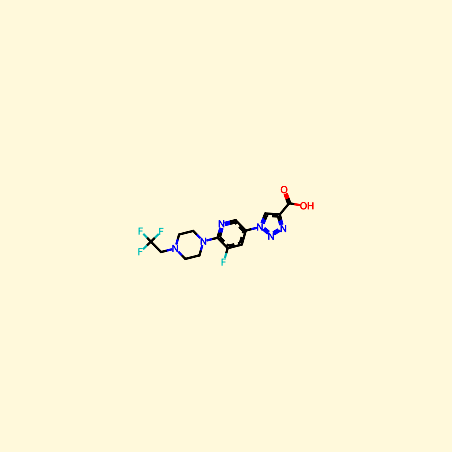 O=C(O)c1cn(-c2cnc(N3CCN(CC(F)(F)F)CC3)c(F)c2)nn1